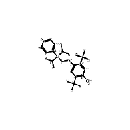 CC(C)[Si](CSc1cc(C(C)(C)C)c(O)cc1C(C)(C)C)(c1ccccc1)C(C)C